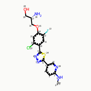 CC(C)Nc1ccc(-c2nnc(-c3cc(F)c(OC[C@@H](N)CO)cc3Cl)s2)cn1